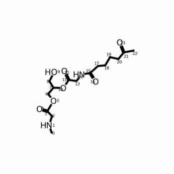 CNCC(=O)OCC(CO)OC(=O)CNC(=O)CCCCC(C)=O